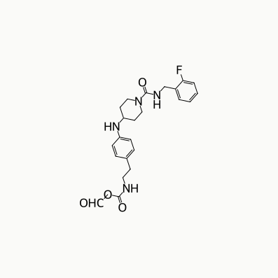 O=COC(=O)NCCc1ccc(NC2CCN(C(=O)NCc3ccccc3F)CC2)cc1